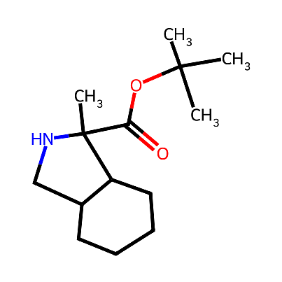 CC(C)(C)OC(=O)C1(C)NCC2CCCCC21